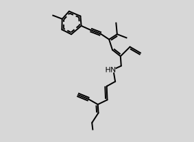 C#CC(=C\CC)/C=C/CNC/C(C=C)=C/C(C#Cc1ccc(C)cc1)=C(C)C